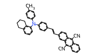 [C-]#[N+]c1c2ccccc2c(C#N)c2ccc(C=Cc3ccc(N(c4ccc(C)cc4)c4cccc5c4CCCC5)cc3)cc12